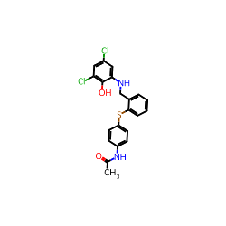 CC(=O)Nc1ccc(Sc2ccccc2CNc2cc(Cl)cc(Cl)c2O)cc1